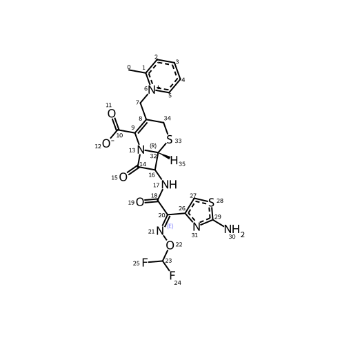 Cc1cccc[n+]1CC1=C(C(=O)[O-])N2C(=O)C(NC(=O)/C(=N/OC(F)F)c3csc(N)n3)[C@H]2SC1